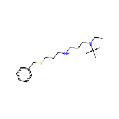 CCN(CCCNCCCSCc1ccccc1)C(C)(C)C